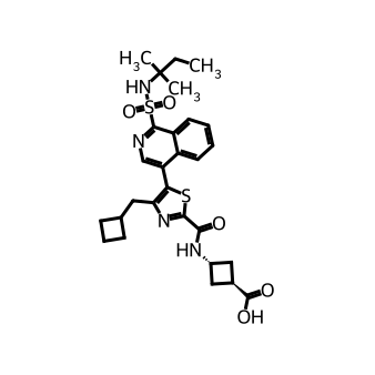 CCC(C)(C)NS(=O)(=O)c1ncc(-c2sc(C(=O)N[C@H]3C[C@H](C(=O)O)C3)nc2CC2CCC2)c2ccccc12